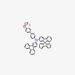 FC(F)(F)Oc1ccc(-c2ccc(N(c3ccc4c(c3)C3(c5ccccc5-c5ccccc53)c3ccccc3-4)c3ccc4c5ccccc5c5ccccc5c4c3)cc2)cc1